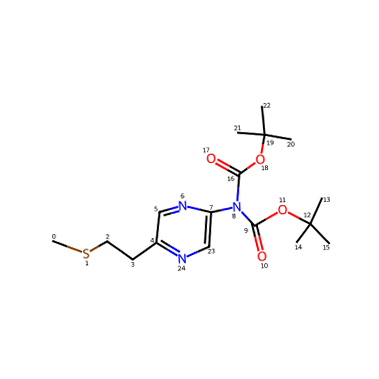 CSCCc1cnc(N(C(=O)OC(C)(C)C)C(=O)OC(C)(C)C)cn1